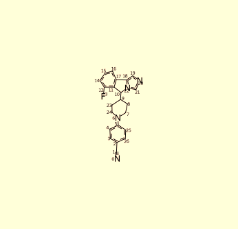 N#Cc1ccc(N2CCC(C3c4c(F)cccc4-c4cncn43)CC2)cc1